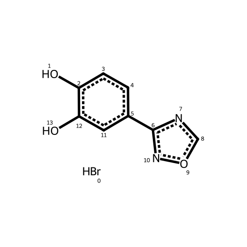 Br.Oc1ccc(-c2ncon2)cc1O